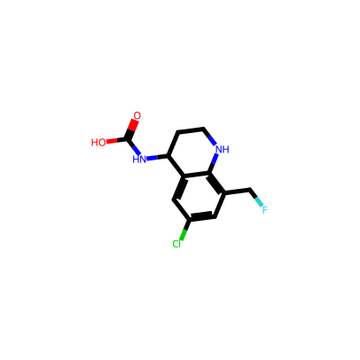 O=C(O)NC1CCNc2c(CF)cc(Cl)cc21